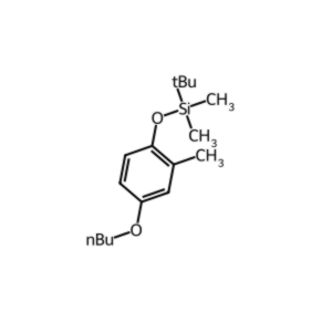 CCCCOc1ccc(O[Si](C)(C)C(C)(C)C)c(C)c1